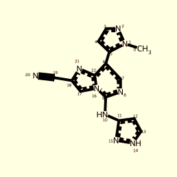 Cn1nccc1-c1cnc(Nc2cc[nH]n2)n2cc(C#N)nc12